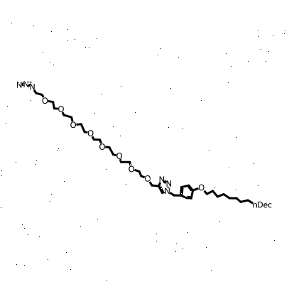 CCCCCCCCCCCCCCCCCCOc1ccc(Cn2cc(COCCOCCOCCOCCOCCOCCOCCOCCN=[N+]=[N-])nn2)cc1